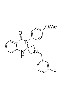 COc1ccc(N2C(=O)c3ccccc3NC23CN(Cc2cccc(F)c2)C3)cc1